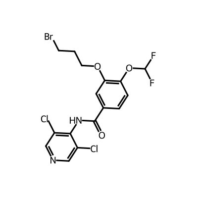 O=C(Nc1c(Cl)cncc1Cl)c1ccc(OC(F)F)c(OCCCBr)c1